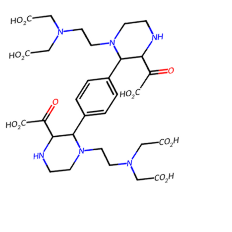 O=C(O)CN(CCN1CCNC(C(=O)C(=O)O)C1c1ccc(C2C(C(=O)C(=O)O)NCCN2CCN(CC(=O)O)CC(=O)O)cc1)CC(=O)O